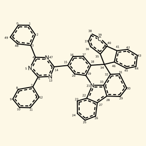 c1ccc(-c2nc(-c3ccccc3)nc(-c3ccc4c(c3)-n3c5ccccc5c5cccc(c53)C43c4ccccc4-c4ccccc43)n2)cc1